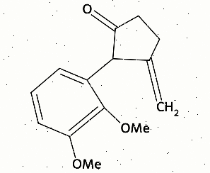 C=C1CCC(=O)C1c1cccc(OC)c1OC